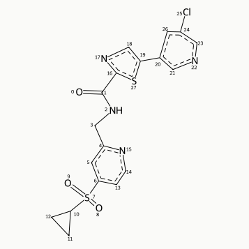 O=C(NCc1cc(S(=O)(=O)C2CC2)ccn1)c1ncc(-c2cncc(Cl)c2)s1